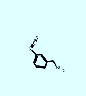 NCc1cccc(N=C=S)c1